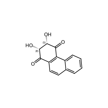 O=C1c2c(ccc3ccccc23)C(=O)[C@H](O)[C@@H]1O